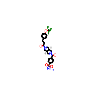 NS(=O)(=O)c1ccc(C(=O)N2C[C@@H]3CN(C(=O)CCc4ccc(OC(F)(F)F)cc4)C[C@H]3C2)cc1